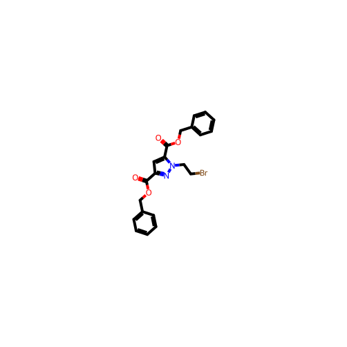 O=C(OCc1ccccc1)c1cc(C(=O)OCc2ccccc2)n(CCBr)n1